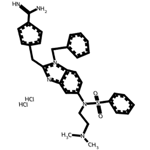 CN(C)CCN(c1ccc2c(c1)nc(Cc1ccc(C(=N)N)cc1)n2Cc1ccccc1)S(=O)(=O)c1ccccc1.Cl.Cl